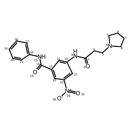 O=C(CCN1CCCC1)Nc1cc(C(=O)Nc2ccccc2)cc([N+](=O)[O-])c1